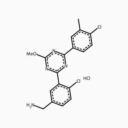 COc1nc(-c2ccc(Cl)c(C)c2)nc(-c2cc(CN)ccc2Cl)n1.Cl